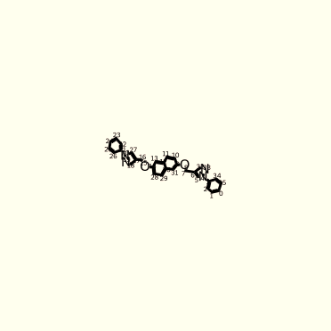 c1ccc(-n2cc(COc3ccc4cc(OCc5cnn(-c6ccccc6)c5)ccc4c3)cn2)cc1